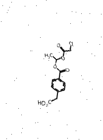 CC(OC(=O)CCl)OC(=O)c1ccc(CC(=O)O)cc1